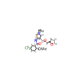 COc1ccc(Cl)cc1C(=O)N=c1sn(C(C)(C)C)cc1COC[C@H]1CCCO1